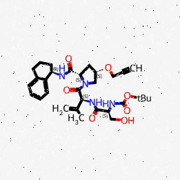 C#CCO[C@H]1C[C@@H](C(=O)N[C@@H]2CCCc3ccccc32)N(C(=O)[C@@H](NC(=O)[C@H](CO)NC(=O)OC(C)(C)C)C(=C)C)C1